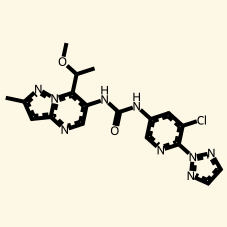 COC(C)c1c(NC(=O)Nc2cnc(-n3nccn3)c(Cl)c2)cnc2cc(C)nn12